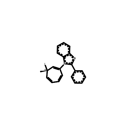 C[C@]1(I)C=CC=CC(n2c(-c3ccccc3)nc3ccccc32)=C1